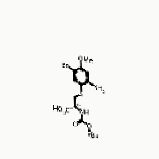 COc1cc(N)c(SC[C@H](NC(=O)OC(C)(C)C)C(=O)O)cc1Br